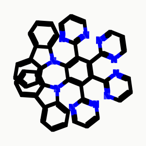 c1cnc(-c2c(-c3ncccn3)c(-c3ncccn3)c(-n3c4ccccc4c4ccccc43)c(-n3c4ccccc4c4ccccc43)c2-c2ncccn2)nc1